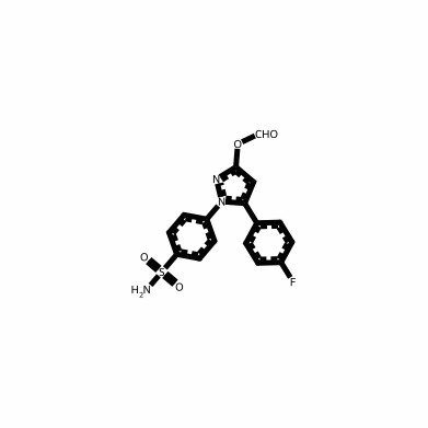 NS(=O)(=O)c1ccc(-n2nc(OC=O)cc2-c2ccc(F)cc2)cc1